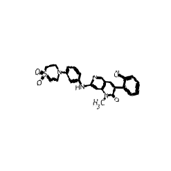 Cn1c(=O)c(-c2ccccc2Cl)cc2cnc(Nc3cccc(N4CCS(=O)(=O)CC4)c3)cc21